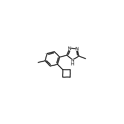 Cc1[c]cc(-c2nnc(C)[nH]2)c(C2CCC2)c1